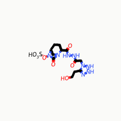 O=C(CN1NNN=C1CCO)NNC(=O)C1CCC2CN1C(=O)N2OS(=O)(=O)O